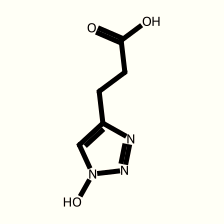 O=C(O)CCc1cn(O)nn1